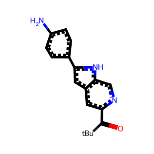 CC(C)(C)C(=O)c1cc2cc(-c3ccc(N)cc3)[nH]c2cn1